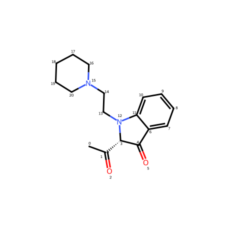 CC(=O)[C@H]1C(=O)c2ccccc2N1CCN1CCCCC1